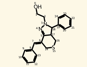 OCCN1N=C2C(=Cc3ccccc3)CSCC2C1c1ccccc1